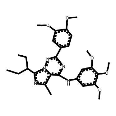 CCC(CC)c1nc(C)c2c(Nc3cc(OC)c(OC)c(OC)c3)nc(-c3ccc(OC)c(OC)c3)nn12